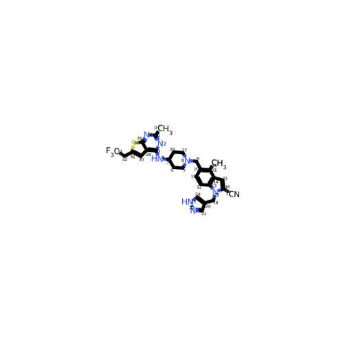 Cc1nc(NC2CCN(Cc3ccc4c(cc(C#N)n4Cc4cn[nH]c4)c3C)CC2)c2cc(CC(F)(F)F)sc2n1